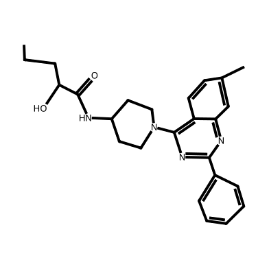 CCCC(O)C(=O)NC1CCN(c2nc(-c3ccccc3)nc3cc(C)ccc23)CC1